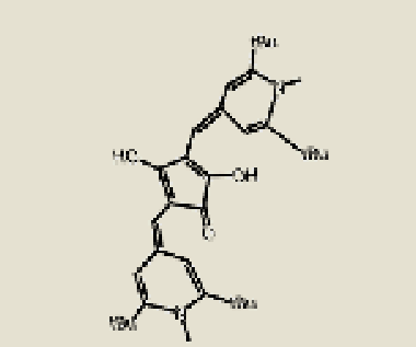 CN1C(C(C)(C)C)=CC(=CC2=C(O)C(C=C3C=C(C(C)(C)C)N(C)C(C(C)(C)C)=C3)=C(O)C2=O)C=C1C(C)(C)C